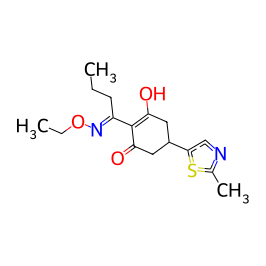 CCCC(=NOCC)C1=C(O)CC(c2cnc(C)s2)CC1=O